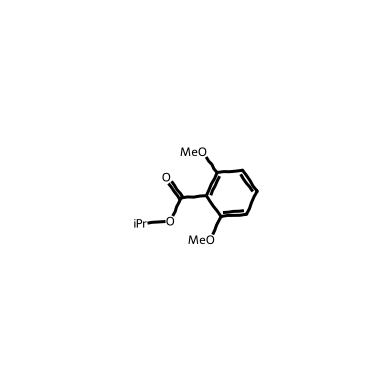 COc1cccc(OC)c1C(=O)OC(C)C